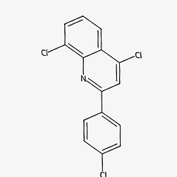 Clc1ccc(-c2cc(Cl)c3cccc(Cl)c3n2)cc1